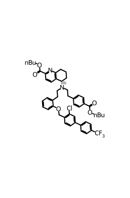 CCCCOC(=O)c1ccc(CCN(CCc2ccccc2OCc2ccc(-c3ccc(C(F)(F)F)cc3)cc2Cl)[C@H]2CCCc3nc(C(=O)OCCCC)ccc32)cc1